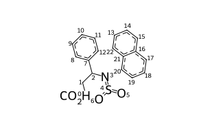 O=C(O)CC(N=S(=O)=O)c1ccccc1.c1ccc2ccccc2c1